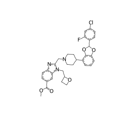 COC(=O)c1ccc2nc(CN3CCC(c4cccc5c4OC(c4ccc(Cl)cc4F)O5)CC3)n(CC3CCO3)c2c1